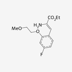 CCOC(=O)/C(N)=C/c1ccc(F)cc1OCCOC